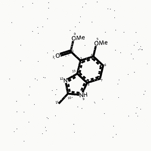 COC(=O)c1c(OC)ccc2[nH]c(C)nc12